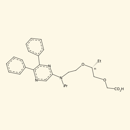 CC[C@H](COCC(=O)O)OCCN(c1cnc(-c2ccccc2)c(-c2ccccc2)n1)C(C)C